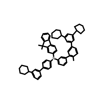 Cc1ccc(-c2cc(C3CCCCC3)cc(C3CCCCC3)c2)cc1-c1cccc(N(c2ccc(-c3cccc(C4CCCCC4)c3)cc2)c2ccc3c(c2)C(C)(C)c2ccccc2-3)c1